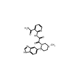 C[C@@H]1CC[C@@H](c2ccc3[nH]cnc3c2)N(C(=O)C(=O)Nc2ncccc2C(N)=O)C1